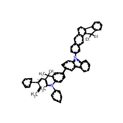 C=C/C(=C\C1=C(C)N(c2ccccc2)c2ccc(-c3ccc4c(c3)c3ccccc3n4-c3ccc4cc5ccc6c(c5cc4c3)C(CC)(CC)c3ccccc3-6)cc2C1(C)C)c1ccccc1